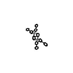 c1ccc(-c2ccc3c(c2)-c2cc(-c4ccccc4)ccc2N2B3c3cccc4c3-c3c(cccc32)B2c3ccc(-c5ccccc5)cc3-c3cc(-c5ccccc5)ccc3N24)cc1